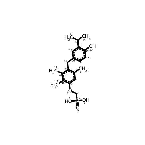 Cc1cc(OCP(=O)(O)O)c(C)c(C)c1Cc1ccc(O)c(C(C)C)c1